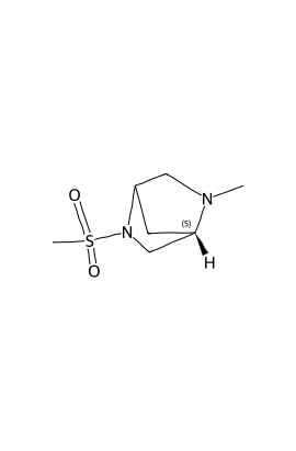 CN1CC2C[C@H]1CN2S(C)(=O)=O